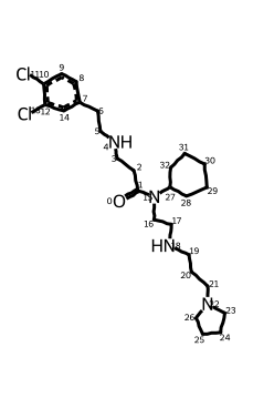 O=C(CCNCCc1ccc(Cl)c(Cl)c1)N(CCNCCCN1CCCC1)C1CCCCC1